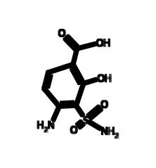 Nc1ccc(C(=O)O)c(O)c1S(N)(=O)=O